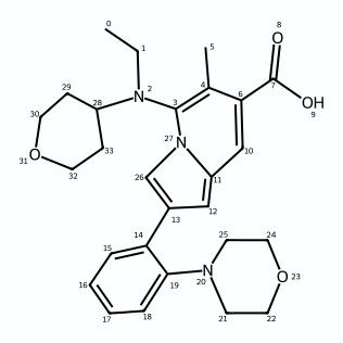 CCN(c1c(C)c(C(=O)O)cc2cc(-c3ccccc3N3CCOCC3)cn12)C1CCOCC1